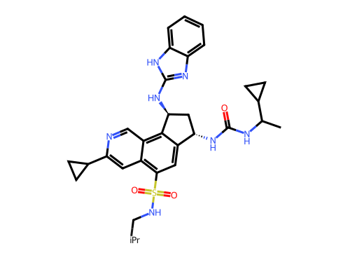 CC(C)CNS(=O)(=O)c1cc2c(c3cnc(C4CC4)cc13)[C@@H](Nc1nc3ccccc3[nH]1)C[C@@H]2NC(=O)NC(C)C1CC1